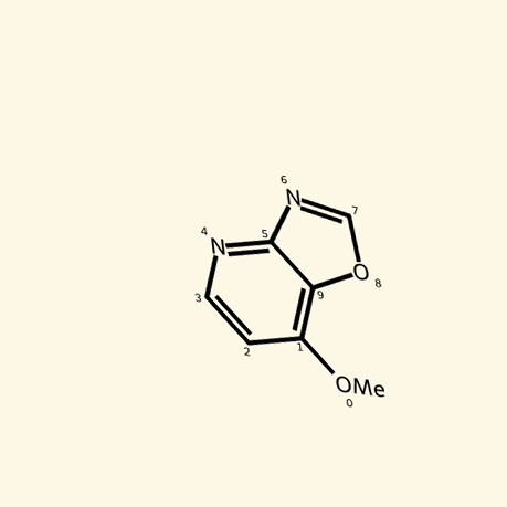 COc1ccnc2ncoc12